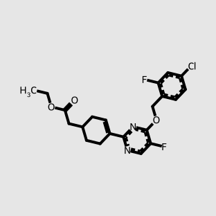 CCOC(=O)CC1CC=C(c2ncc(F)c(OCc3ccc(Cl)cc3F)n2)CC1